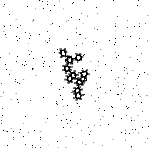 c1ccc(-c2nc(-c3ccccc3)nc(-c3cccc(-c4ccc(-c5cc(-c6ccc7ccccc7c6)cc6oc7ccccc7c56)c5ccccc45)c3)n2)cc1